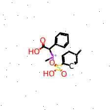 CC1C=[C-]C(S(=O)(=O)O)=CC1.C[I+]C(C(=O)O)c1ccccc1